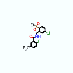 CCS(=O)(=O)C1C=CC(Cl)=CC1CNC(=O)c1cc(C(F)(F)F)ccc1F